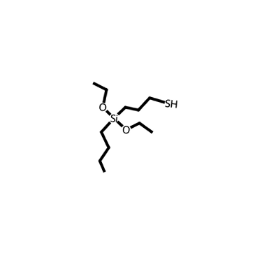 CCCC[Si](CCCS)(OCC)OCC